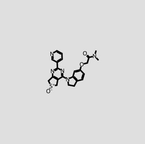 CN(C)C(=O)COc1ccc2c(c1)N(c1nc(-c3cccnc3)nc3c1C[S+]([O-])C3)CC2